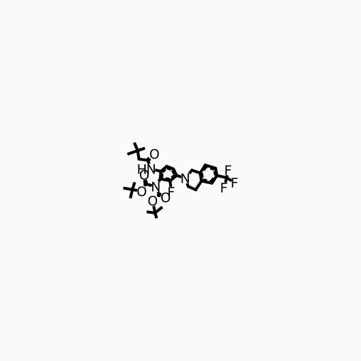 CC(C)(C)CC(=O)Nc1ccc(N2CCc3cc(C(F)(F)F)ccc3C2)c(F)c1N(C(=O)OC(C)(C)C)C(=O)OC(C)(C)C